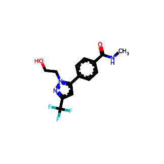 CNC(=O)c1ccc(-c2cc(C(F)(F)F)nn2CCO)cc1